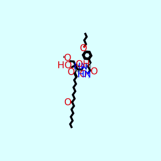 CCCCCCCC(=O)CCCCCCC=C[C@H](C(=O)N[C@@H](Cc1ccc(OCCCC)cc1)C(=O)NC)[C@@](O)(CCOC)C(=O)O